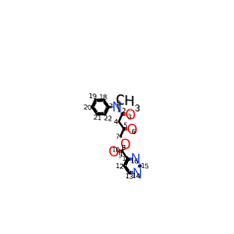 CN(C(=O)CC(=O)COC(=O)c1ccncn1)c1ccccc1